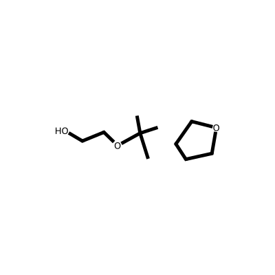 C1CCOC1.CC(C)(C)OCCO